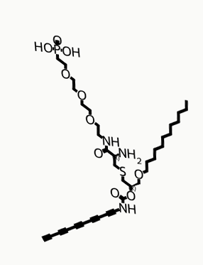 C#CC#CC#CC#CC#CNC(=O)O[C@H](COCCCCCCCCCCCC)CSC[C@H](N)C(=O)NCCOCCOCCOCCP(=O)(O)O